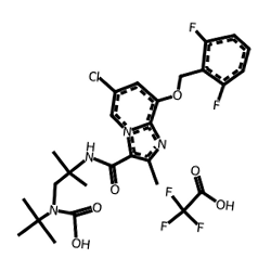 Cc1nc2c(OCc3c(F)cccc3F)cc(Cl)cn2c1C(=O)NC(C)(C)CN(C(=O)O)C(C)(C)C.O=C(O)C(F)(F)F